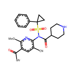 CCCC(=O)c1cc(C#N)c(N(C(=O)C2CCNCC2)S(=O)(=O)C2(c3ccccc3)CC2)nc1OC